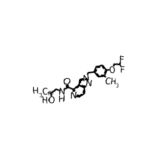 Cc1cc(Cn2cc3c(C(=O)NC[C@H](C)O)nccc3n2)ccc1OCC(F)F